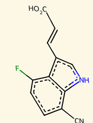 N#Cc1ccc(F)c2c(C=CC(=O)O)c[nH]c12